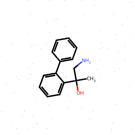 CC(O)(CN)c1ccccc1-c1ccccc1